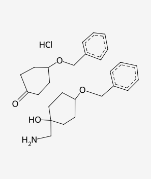 Cl.NCC1(O)CCC(OCc2ccccc2)CC1.O=C1CCC(OCc2ccccc2)CC1